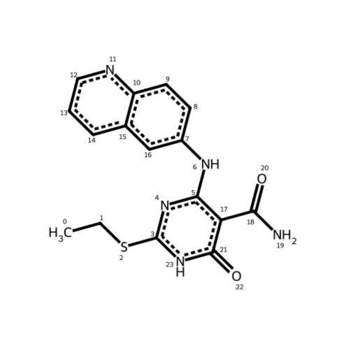 CCSc1nc(Nc2ccc3ncccc3c2)c(C(N)=O)c(=O)[nH]1